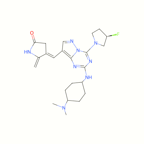 C=C1NC(=O)C/C1=C\c1cnn2c(N3CC[C@@H](F)C3)nc(NC3CCC(N(C)C)CC3)nc12